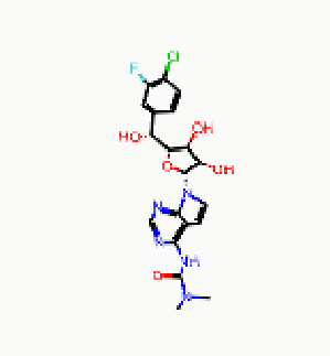 CN(C)C(=O)Nc1ncnc2c1ccn2[C@@H]1O[C@H]([C@H](O)c2ccc(Cl)c(F)c2)[C@@H](O)[C@H]1O